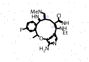 CCN/C1=C(\C(=N)Cl)C/C(=C/NC)C(=N)c2ccc(F)cc2C(C)Oc2cc1cnc2N